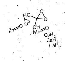 O.OC1(O)OO1.[CaH2].[CaH2].[CaH2].[O]=[Mn].[O]=[Zn]